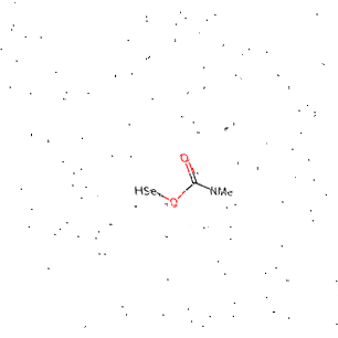 CNC(=O)O[SeH]